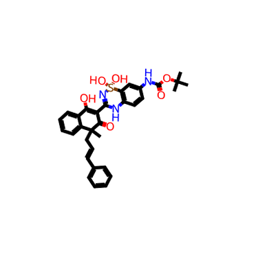 CC(C)(C)OC(=O)Nc1ccc2c(c1)S(O)(O)N=C(C1=C(O)c3ccccc3C(C)(CC=Cc3ccccc3)C1=O)N2